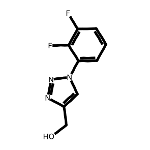 OCc1cn(-c2cccc(F)c2F)nn1